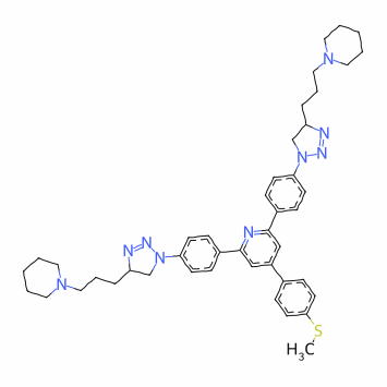 CSc1ccc(-c2cc(-c3ccc(N4CC(CCCN5CCCCC5)N=N4)cc3)nc(-c3ccc(N4CC(CCCN5CCCCC5)N=N4)cc3)c2)cc1